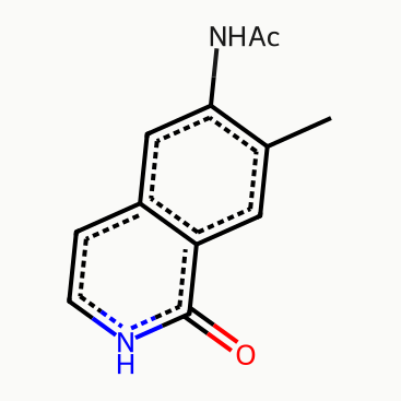 CC(=O)Nc1cc2cc[nH]c(=O)c2cc1C